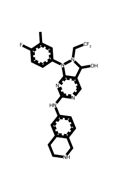 Cc1cc(N2c3nc(Nc4ccc5c(c4)CCNC5)ncc3C(O)N2CC(F)(F)F)ccc1F